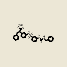 CC(C)(C)OC(=O)C(Cc1ccccc1)c1cccc(NS(=O)(=O)c2cccc(NC(=O)NCc3ccccc3)c2)c1